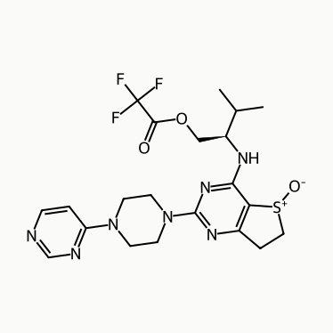 CC(C)[C@H](COC(=O)C(F)(F)F)Nc1nc(N2CCN(c3ccncn3)CC2)nc2c1[S+]([O-])CC2